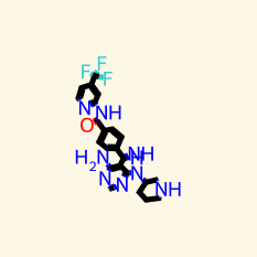 N=C(c1ccc(C(=O)Nc2cc(C(F)(F)F)ccn2)cc1)c1c(N)ncnc1NC1CCCNC1